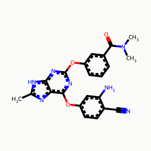 Cc1nc2c(Oc3ccc(C#N)c(N)c3)nc(Oc3cccc(C(=O)N(C)C)c3)nc2[nH]1